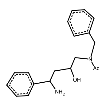 CC(=O)N(Cc1ccccc1)CC(O)CC(N)c1ccccc1